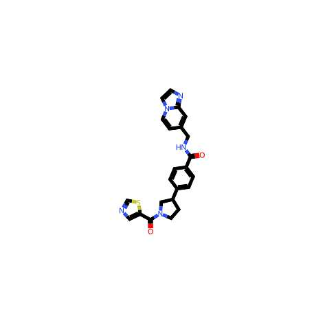 O=C(NCc1ccn2ccnc2c1)c1ccc(C2CCN(C(=O)c3cncs3)C2)cc1